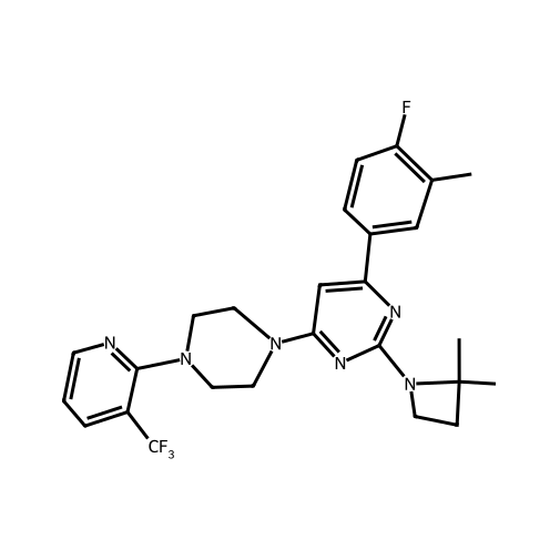 Cc1cc(-c2cc(N3CCN(c4ncccc4C(F)(F)F)CC3)nc(N3CCC3(C)C)n2)ccc1F